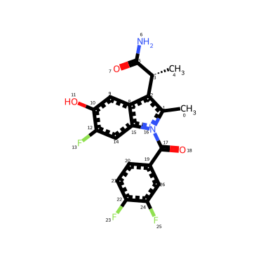 Cc1c([C@@H](C)C(N)=O)c2cc(O)c(F)cc2n1C(=O)c1ccc(F)c(F)c1